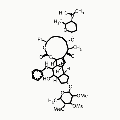 CC[C@H]1CCC[C@H](O[C@H]2CC[C@H](N(C)C)C(C)O2)[C@@H](C)C(=O)C2=C[C@H]3[C@@H]4C[C@H](O[C@H]5OC(C)[C@H](OC)C(OC)C5OC)C[C@H]4C(O)C(Nc4ccccc4)[C@H]3[C@@H]2CC(=O)O1